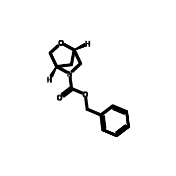 O=C(OCc1ccccc1)N1C[C@@H]2C[C@H]1CO2